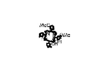 COc1cccc(-c2c3nc(c(-c4cccc(C)c4)c4ccc([nH]4)c(-c4cccc(C)c4)c4nc(c(-c5cccc(OC)c5)c5ccc2[nH]5)[C@H](O)[C@@H]4O)C=C3)c1